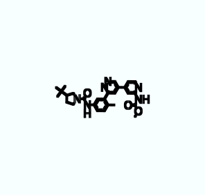 COC(=O)Nc1cc(-c2cnnc(-c3cc(NC(=O)N4CCC(C(C)(C)C)C4)ccc3C)c2)ccn1